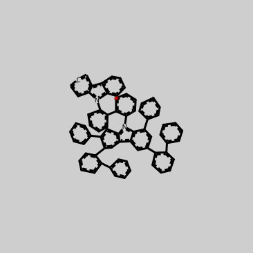 c1ccc(-c2ccccc2-c2cc(-c3ccccc3)c3c(c2)c2cc(-c4ccccc4-c4ccccc4)c(-c4ccccc4)cc2n3-c2ccccc2-c2ccccc2-n2c3ccccc3c3ccccc32)cc1